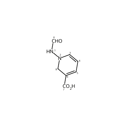 O=CNN1C=CC=C(C(=O)O)C1